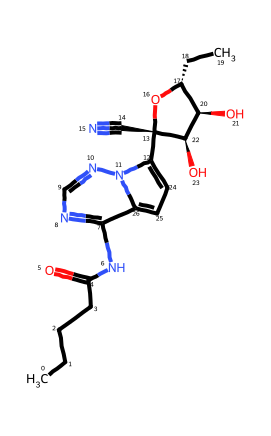 CCCCC(=O)Nc1ncnn2c([C@]3(C#N)O[C@H](CC)[C@@H](O)[C@H]3O)ccc12